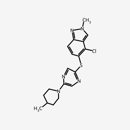 CC1CCN(c2cnc(Sc3ccc4nn(C)cc4c3Cl)cn2)CC1